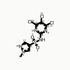 Cn1cc(S(=O)(=O)Nc2nc(Cl)c(Cl)c(Cl)n2)cn1